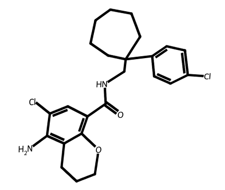 Nc1c(Cl)cc(C(=O)NCC2(c3ccc(Cl)cc3)CCCCCC2)c2c1CCCO2